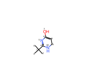 CC(C)(C)C1=NC(O)=CCN1